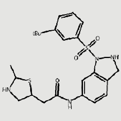 CC1NCC(CC(=O)Nc2ccc3c(c2)N(S(=O)(=O)c2cccc(C(C)(C)C)c2)NC3)S1